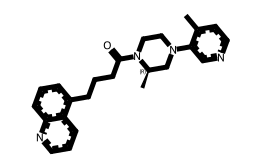 Cc1ccncc1N1CCN(C(=O)CCCc2cccc3ncccc23)[C@H](C)C1